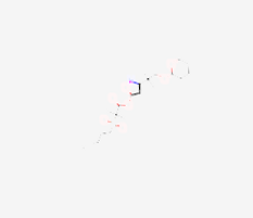 CC(C)(COC1CCCCO1)c1cc(OC(=O)C(C)(C)S(=O)(=O)CCCC(F)(F)F)on1